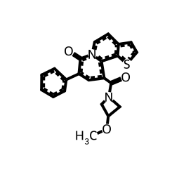 COC1CN(C(=O)c2cc(-c3ccccc3)c(=O)n3ccc4ccsc4c23)C1